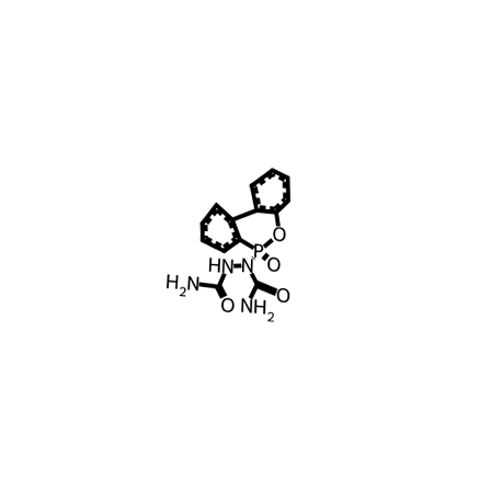 NC(=O)NN(C(N)=O)P1(=O)Oc2ccccc2-c2ccccc21